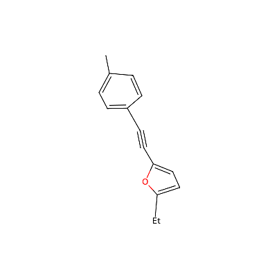 CCc1ccc(C#Cc2ccc(C)cc2)o1